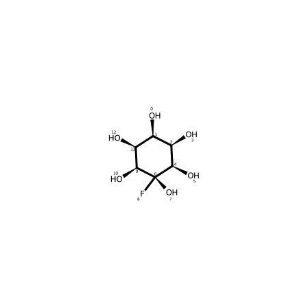 O[C@H]1[C@@H](O)[C@@H](O)[C@](O)(F)[C@@H](O)[C@H]1O